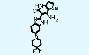 Nc1c(-c2nc3ccc(N4CCC(F)(F)CC4)cc3[nH]2)c(=O)[nH]c2cc[se]c12